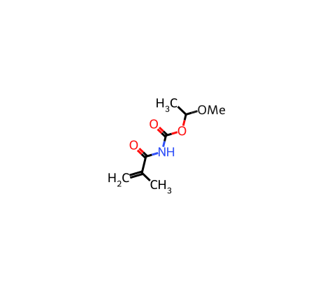 C=C(C)C(=O)NC(=O)OC(C)OC